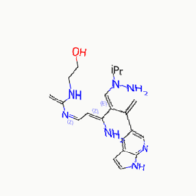 C=C(\N=C/C=C(N)/C(=C/N(N)C(C)C)C(=C)c1cnc2[nH]ccc2c1)NCCO